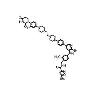 Cc1cc(-c2n[nH]c3ncc(-c4ccc(N5CCN(CCC6CCN(c7ccc(C8CCC(=O)NC8=O)c(F)c7)CC6)CC5)cc4)cc23)ccc1CNC(=O)c1noc(C(C)(C)C)n1